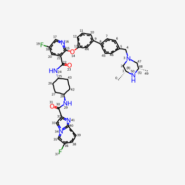 C[C@@H]1CN(Cc2ccc(-c3cccc(Oc4ncc(F)cc4C(=O)N[C@H]4CC[C@H](NC(=O)c5cn6cc(F)ccc6n5)CC4)c3)cc2)C[C@H](C)N1